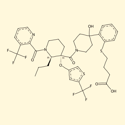 CCC[C@H]1N(C(=O)c2ncccc2C(F)(F)F)CCC[C@@]1(Oc1csc(C(F)(F)F)c1)C(=O)N1CCC(O)(c2ccccc2SCCCC(=O)O)CC1